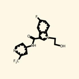 O=C(Nc1ccnc(C(F)(F)F)c1)c1cn(CCO)c2ccc(F)cc12